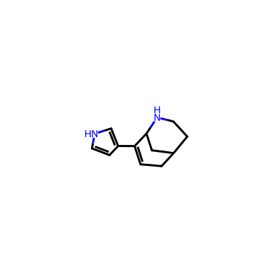 C1=C(c2cc[nH]c2)C2CC(C1)CCN2